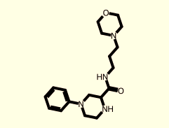 O=C(NCCCN1CCOCC1)C1CN(c2ccccc2)CCN1